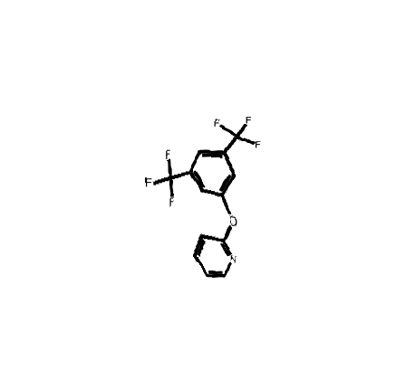 FC(F)(F)c1cc(Oc2ccc[c]n2)cc(C(F)(F)F)c1